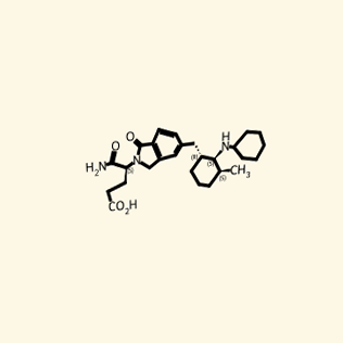 C[C@H]1CCC[C@H](Cc2ccc3c(c2)CN([C@@H](CCC(=O)O)C(N)=O)C3=O)[C@H]1NC1CCCCC1